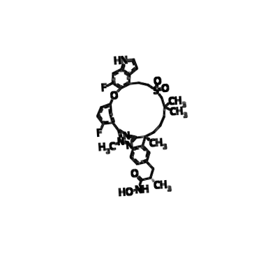 C[C@@H](Cc1cccc([C@@]2(C)CCCC(C)(C)CS(=O)(=O)CCc3c(c(F)cc4[nH]ccc34)Oc3ccc(F)c(c3)-c3nc2nn3C)c1)C(=O)NO